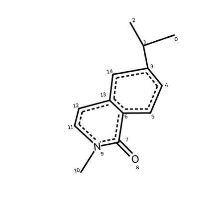 CC(C)c1ccc2c(=O)n(C)ccc2c1